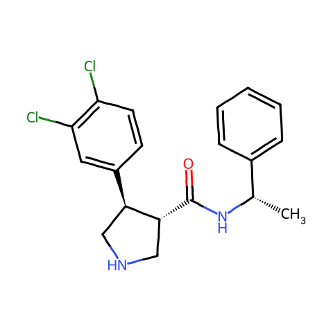 C[C@H](NC(=O)[C@@H]1CNC[C@H]1c1ccc(Cl)c(Cl)c1)c1ccccc1